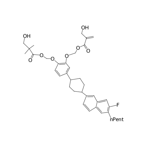 C=C(CO)C(=O)OCOc1cc(C2CCC(c3ccc4cc(CCCCC)c(F)cc4c3)CC2)ccc1OCOC(=O)C(C)(C)CO